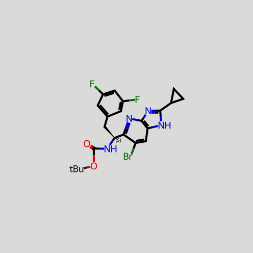 CC(C)(C)OC(=O)N[C@@H](Cc1cc(F)cc(F)c1)c1nc2nc(C3CC3)[nH]c2cc1Br